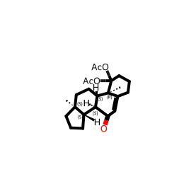 CC(=O)OC1(OC(C)=O)CCCC2=CC(=O)[C@H]3[C@@H]4CCC[C@@]4(C)CC[C@@H]3[C@]21C